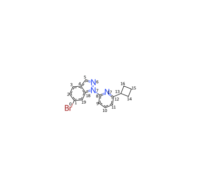 Brc1ccc2cnn(-c3cccc(C4CCC4)n3)c2c1